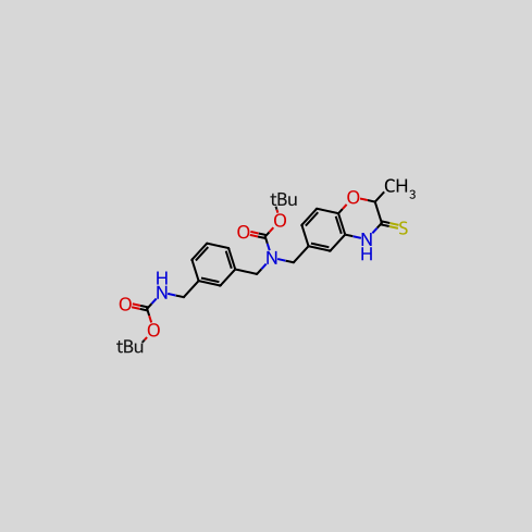 CC1Oc2ccc(CN(Cc3cccc(CNC(=O)OC(C)(C)C)c3)C(=O)OC(C)(C)C)cc2NC1=S